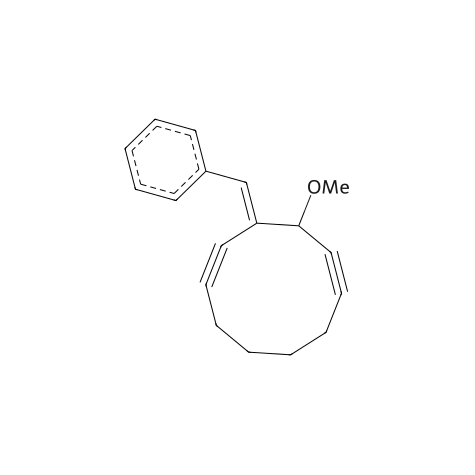 COC1C#CCCCCC#CC1=Cc1ccccc1